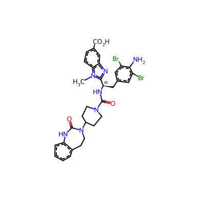 Cn1c([C@@H](Cc2cc(Br)c(N)c(Br)c2)NC(=O)N2CCC(N3CCc4ccccc4NC3=O)CC2)nc2cc(C(=O)O)ccc21